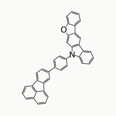 c1cc2c3c(cccc3c1)-c1cc(-c3ccc(-n4c5ccccc5c5cc6c(cc54)oc4ccccc46)cc3)ccc1-2